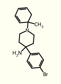 CC1(N2CCC(N)(c3ccc(Br)cc3)CC2)C=CC=CC1